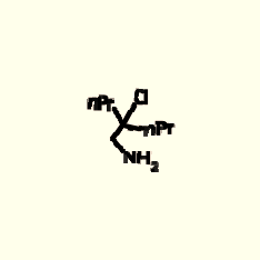 CCCC(Cl)(CN)CCC